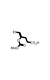 CCC=C(CCC(=O)O)OC(=O)OC